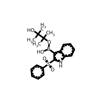 CC(C)(O)C(C)(C)OB(O)c1c(S(=O)(=O)c2ccccc2)[nH]c2ccccc12